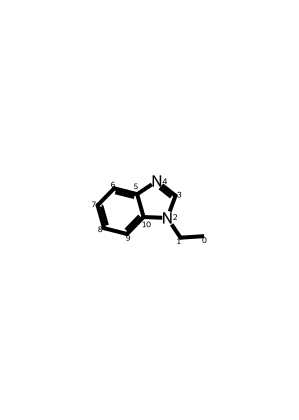 CCn1cnc2c[c]ccc21